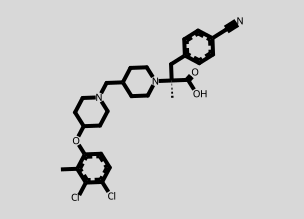 Cc1c(OC2CCN(CC3CCN([C@@](C)(Cc4ccc(C#N)cc4)C(=O)O)CC3)CC2)ccc(Cl)c1Cl